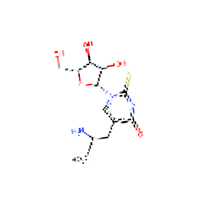 NC(Cc1cn([C@@H]2O[C@H](CO)[C@@H](O)[C@H]2O)c(=S)[nH]c1=O)C(=O)O